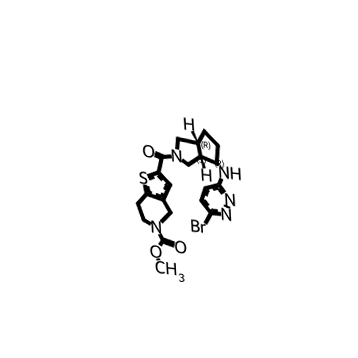 COC(=O)N1CCc2sc(C(=O)N3C[C@@H]4CC[C@@H](Nc5ccc(Br)nn5)[C@@H]4C3)cc2C1